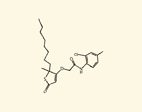 CCCCCCCCC1(C)SC(=O)C=C1OCC(=O)Nc1ccc(C)cc1Cl